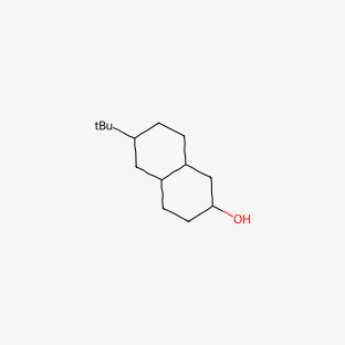 CC(C)(C)C1CCC2CC(O)CCC2C1